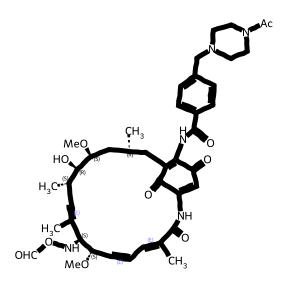 CO[C@H]1/C=C\C=C(/C)C(=O)NC2=CC(=O)C(NC(=O)c3ccc(CN4CCN(C(C)=O)CC4)cc3)=C(C[C@@H](C)C[C@H](OC)[C@H](O)[C@@H](C)/C=C(\C)[C@@H]1NOC=O)C2=O